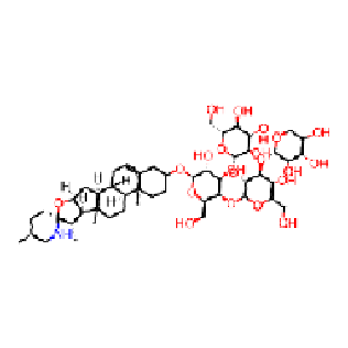 C[C@H]1CC[C@]2(NC1)O[C@H]1C[C@H]3[C@@H]4CC=C5C[C@@H](O[C@@H]6O[C@H](CO)[C@H](O[C@@H]7O[C@H](CO)[C@@H](O)[C@H](O[C@@H]8OC[C@@H](O)[C@H](O)[C@H]8O)[C@H]7O[C@@H]7O[C@H](CO)[C@@H](O)[C@H](O)[C@H]7O)[C@H](O)[C@H]6O)CC[C@]5(C)[C@H]4CC[C@]3(C)[C@H]1[C@@H]2C